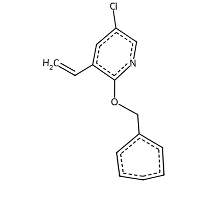 C=Cc1cc(Cl)cnc1OCc1ccccc1